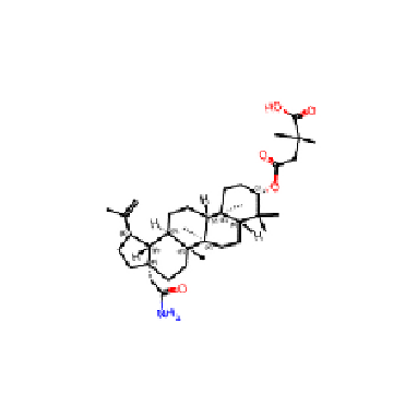 C=C(C)[C@@H]1CC[C@]2(CC(N)=O)CC[C@]3(C)[C@H](CC[C@@H]4[C@@]5(C)CC[C@H](OC(=O)CC(C)(C)C(=O)O)C(C)(C)[C@@H]5CC[C@]43C)[C@@H]12